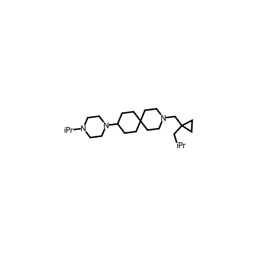 CC(C)CC1(CN2CCC3(CCC(N4CCN(C(C)C)CC4)CC3)CC2)CC1